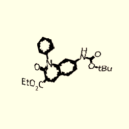 CCOC(=O)c1cc2ccc(NC(=O)OC(C)(C)C)cc2n(-c2ccccc2)c1=O